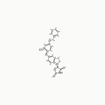 O=C1NC(=O)C([C@@H]2CCc3cc(Oc4ccc(OCc5ccccc5)cc4Cl)ccc32)O1